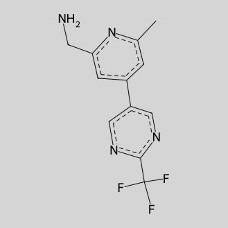 Cc1cc(-c2cnc(C(F)(F)F)nc2)cc(CN)n1